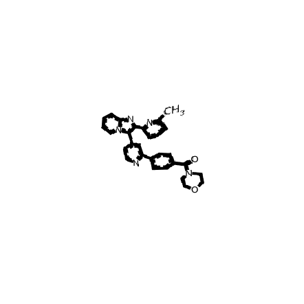 Cc1cccc(-c2nc3ccccn3c2-c2ccnc(-c3ccc(C(=O)N4CCOCC4)cc3)c2)n1